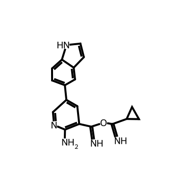 N=C(OC(=N)C1CC1)c1cc(-c2ccc3[nH]ccc3c2)cnc1N